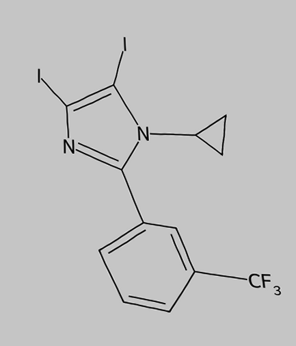 FC(F)(F)c1cccc(-c2nc(I)c(I)n2C2CC2)c1